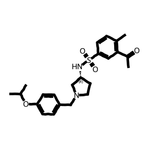 CC(=O)c1cc(S(=O)(=O)N[C@@H]2CCN(Cc3ccc(OC(C)C)cc3)C2)ccc1C